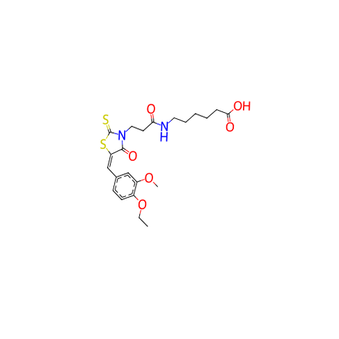 CCOc1ccc(/C=C2/SC(=S)N(CCC(=O)NCCCCCC(=O)O)C2=O)cc1OC